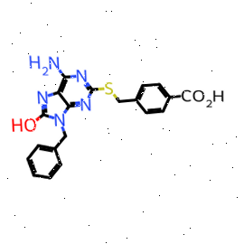 Nc1nc(SCc2ccc(C(=O)O)cc2)nc2c1nc(O)n2Cc1ccccc1